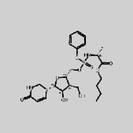 CCCCOC(=O)[C@@H](C)NP(=S)(OC[C@H]1O[C@@H](N2C=CC(=O)NC2)[C@H](O)[C@@H]1CO)Oc1ccccc1